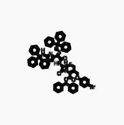 O=C(OC(c1ccccc1)c1ccccc1)C1=C(COc2ccc(Br)cc2)CS[C@@H]2C(NC(=O)/C(=N/OC(c3ccccc3)(c3ccccc3)c3ccccc3)c3csc(NC(c4ccccc4)(c4ccccc4)c4ccccc4)n3)C(=O)N12